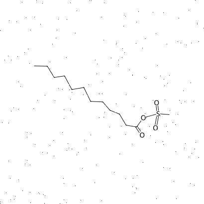 CCCCCCCCCCCC(=O)OS(C)(=O)=O